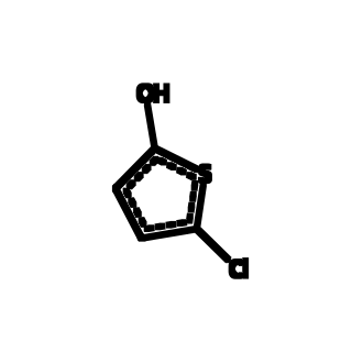 Oc1ccc(Cl)s1